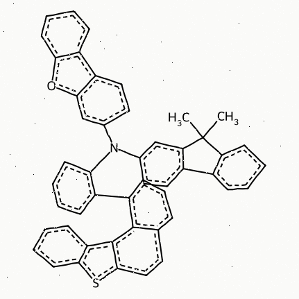 CC1(C)c2ccccc2-c2ccc(N(c3ccc4c(c3)oc3ccccc34)c3ccccc3-c3cccc4ccc5sc6ccccc6c5c34)cc21